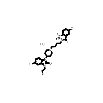 Cl.O=C1c2cc(Cl)ccc2S(=O)(=O)N1CCCCN1CCC(n2c(=O)n(CCF)c3cc(Cl)ccc32)CC1